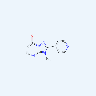 Cn1c(-c2ccncc2)nn2c(=O)ccnc12